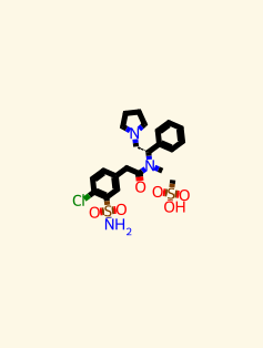 CN(C(=O)Cc1ccc(Cl)c(S(N)(=O)=O)c1)[C@H](CN1CCCC1)c1ccccc1.CS(=O)(=O)O